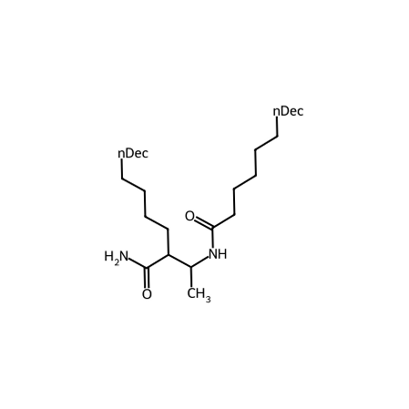 CCCCCCCCCCCCCCCC(=O)NC(C)C(CCCCCCCCCCCCCC)C(N)=O